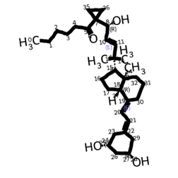 CCCCCC(=O)C1([C@H](O)/C=C/C(C)(C)[C@H]2CC[C@H]3/C(=C/C=C4C[C@@H](O)C[C@H](O)C4)CCC[C@]23C)CC1